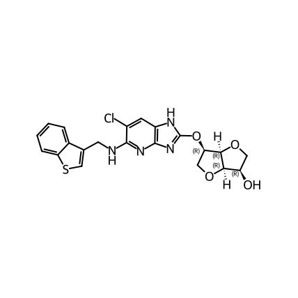 O[C@@H]1CO[C@H]2[C@@H]1OC[C@H]2Oc1nc2nc(NCc3csc4ccccc34)c(Cl)cc2[nH]1